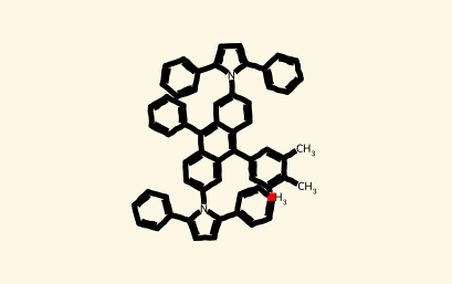 Cc1cc(-c2c3ccc(-n4c(-c5ccccc5)ccc4-c4ccccc4)cc3c(-c3ccccc3)c3ccc(-n4c(-c5ccccc5)ccc4-c4ccccc4)cc23)cc(C)c1C